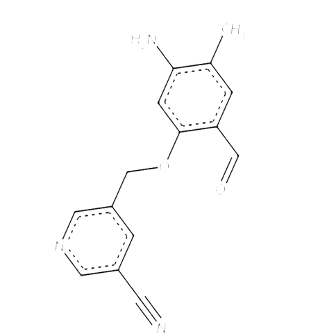 Cc1cc(C=O)c(OCc2cncc(C#N)c2)cc1N